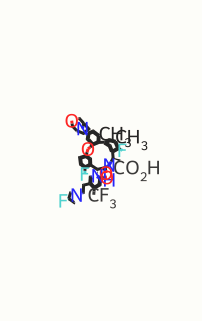 Cc1cc2cc(c1F)[C@@H](CC(=O)O)NC(=O)[C@H](n1cc(CCN3CC(F)C3)c(C(F)(F)F)cc1=O)c1cc(ccc1F)Oc1cc(N3C4CCC3COC4)cc(C)c1-2